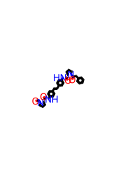 O=CN1CCC[C@H]1C(=O)Nc1ccc(/C=C/c2ccc(NC(=O)[C@@H]3CCCN3C(=O)Cc3ccccc3)cc2)cc1